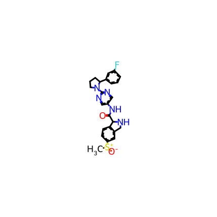 C[S+]([O-])c1ccc2c(c1)CNC2C(=O)Nc1cnc(N2CCCC2c2cccc(F)c2)nc1